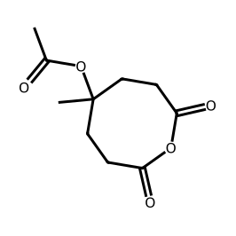 CC(=O)OC1(C)CCC(=O)OC(=O)CC1